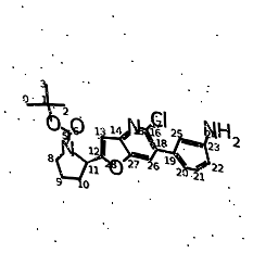 CC(C)(C)OC(=O)N1CCC[C@@H]1c1cc2nc(Cl)c(-c3cccc(N)c3)cc2o1